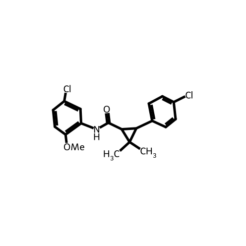 COc1ccc(Cl)cc1NC(=O)C1C(c2ccc(Cl)cc2)C1(C)C